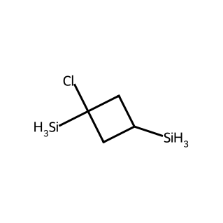 [SiH3]C1CC([SiH3])(Cl)C1